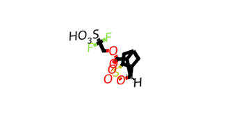 O=C(OCC(F)(F)S(=O)(=O)O)C1C2CC3C(C2)S(=O)(=O)O[C@H]31